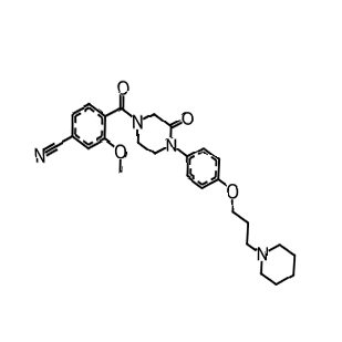 COc1cc(C#N)ccc1C(=O)N1CCN(c2ccc(OCCCN3CCCCC3)cc2)C(=O)C1